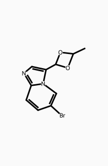 CC1OC(c2cnc3ccc(Br)cn23)O1